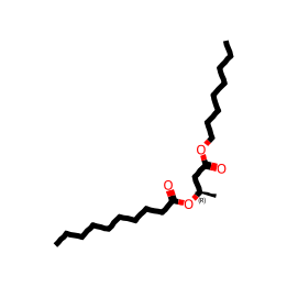 CCCCCCCCCC(=O)O[C@H](C)CC(=O)OCCCCCCCC